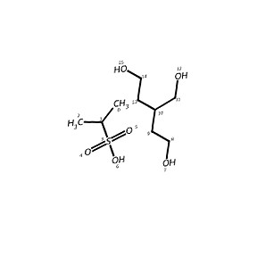 CC(C)S(=O)(=O)O.OCCC(CO)CCO